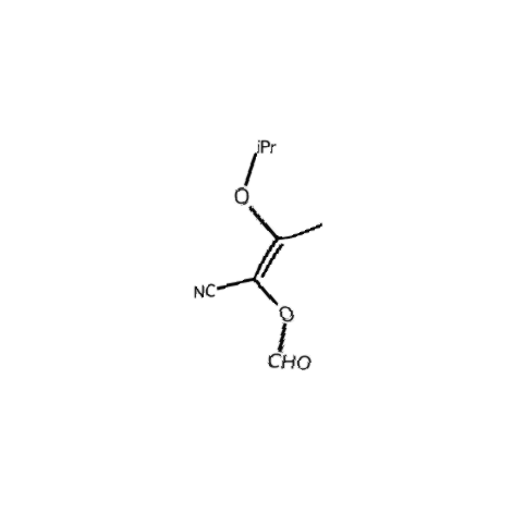 C/C(OC(C)C)=C(/C#N)OC=O